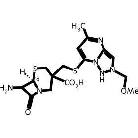 COCN1C=C2N=C(C)C=C(SCC3(C(=O)O)CS[C@@H]4C(N)C(=O)N4C3)N2N1